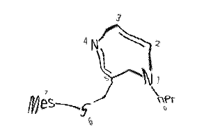 CCCn1ccnc1SSC